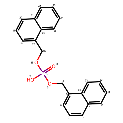 O=P(O)(OCc1cccc2ccccc12)OCc1cccc2ccccc12